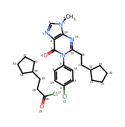 Cn1cnc2c(=O)n(-c3ccc(Cl)cc3)c(CCC3CCCC3)nc21.O=C(Cl)CCC1CCCC1